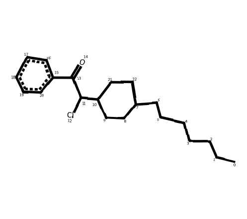 CCCCCCCC1CCC(C(Cl)C(=O)c2ccccc2)CC1